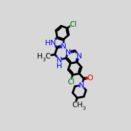 CC1CCN(C(=O)c2cc3ncnc(NC(C)c4nc5cc(Cl)ccc5[nH]4)c3cc2Cl)CC1